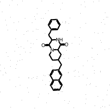 O=C1NC(Cc2ccccc2)C(=O)N2CCC(Cc3ccc4ccccc4c3)CC12